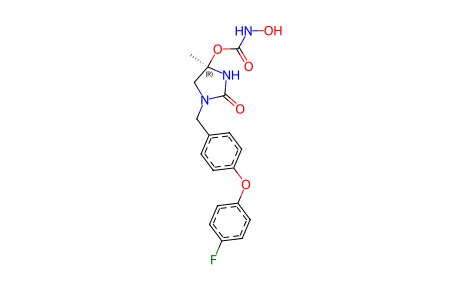 C[C@@]1(OC(=O)NO)CN(Cc2ccc(Oc3ccc(F)cc3)cc2)C(=O)N1